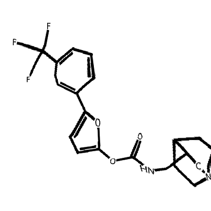 O=C(NC1CN2CCC1CC2)Oc1ccc(-c2cccc(C(F)(F)F)c2)o1